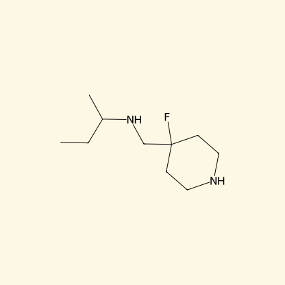 CCC(C)NCC1(F)CCNCC1